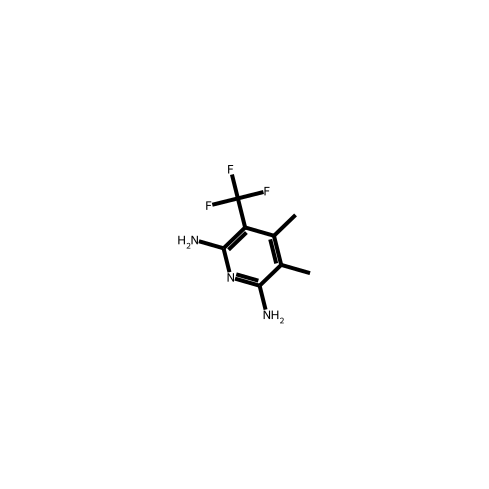 Cc1c(N)nc(N)c(C(F)(F)F)c1C